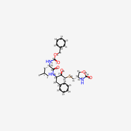 CC(C)C[C@H](NC(=O)OCc1ccccc1)C(=O)NC(Cc1ccccc1)C(=O)CSC[C@@H]1COC(=O)N1